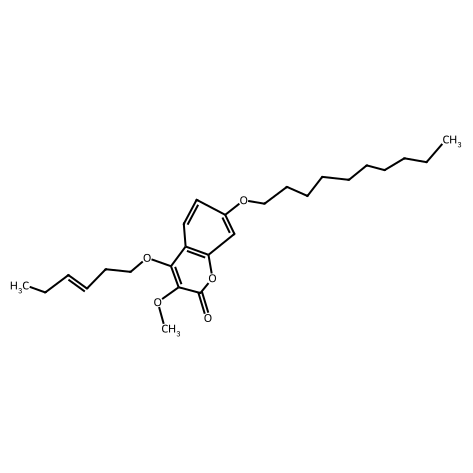 CCC=CCCOc1c(OC)c(=O)oc2cc(OCCCCCCCCCC)ccc12